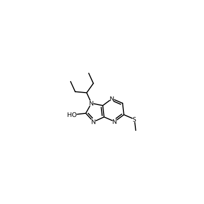 CCC(CC)n1c(O)nc2nc(SC)cnc21